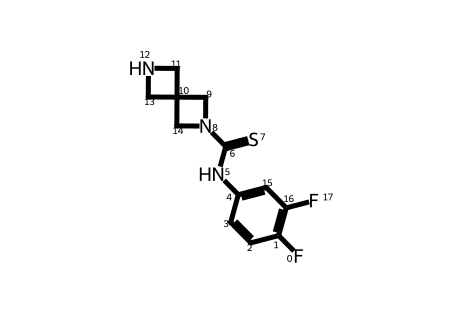 Fc1ccc(NC(=S)N2CC3(CNC3)C2)cc1F